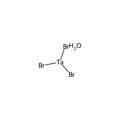 O.[Br][Ta]([Br])[Br]